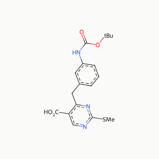 CSc1ncc(C(=O)O)c(Cc2cccc(NC(=O)OC(C)(C)C)c2)n1